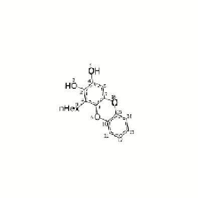 CCCCCCc1c(O)c(O)cc2c1Oc1ccccc1O2